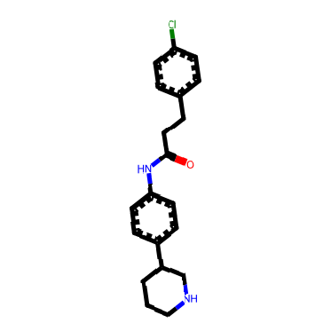 O=C(CCc1ccc(Cl)cc1)Nc1ccc(C2CCCNC2)cc1